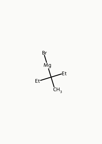 CC[C](C)(CC)[Mg][Br]